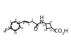 O=C(CC=Cc1ccc(F)cc1)NC1CC(C(=O)O)C1